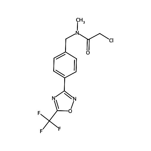 CN(Cc1ccc(-c2noc(C(F)(F)F)n2)cc1)C(=O)CCl